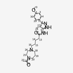 COc1ccc(-c2n[nH]c(NC(=O)CCCCN3CCCN(C(C)=O)CC3)c2C)cc1